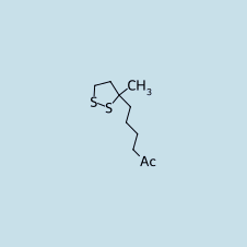 CC(=O)CCCCC1(C)CCSS1